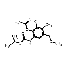 COCc1cc(NC(=O)OC(C)C)c(OC(N)=O)c(Cl)c1C